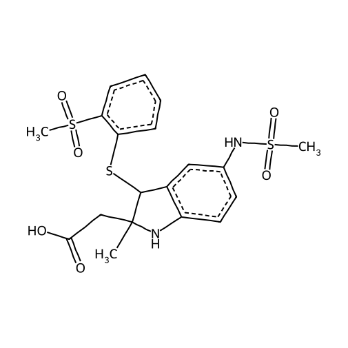 CC1(CC(=O)O)Nc2ccc(NS(C)(=O)=O)cc2C1Sc1ccccc1S(C)(=O)=O